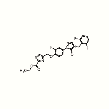 CCOC(=O)c1nc(COc2ccc(-n3ncn(Cc4c(F)cccc4F)c3=O)cc2F)cs1